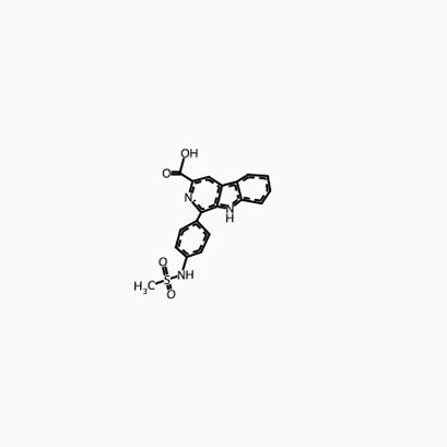 CS(=O)(=O)Nc1ccc(-c2nc(C(=O)O)cc3c2[nH]c2ccccc23)cc1